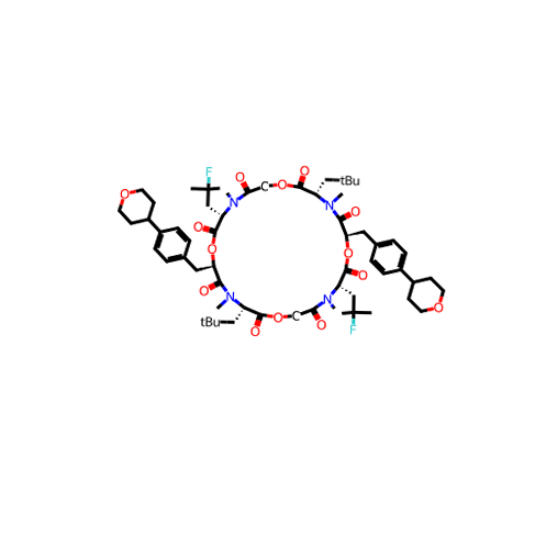 CN1C(=O)COC(=O)[C@H](CC(C)(C)C)N(C)C(=O)[C@@H](Cc2ccc(C3CCOCC3)cc2)OC(=O)[C@H](CC(C)(C)F)N(C)C(=O)COC(=O)[C@H](CC(C)(C)C)N(C)C(=O)[C@@H](Cc2ccc(C3CCOCC3)cc2)OC(=O)[C@@H]1CC(C)(C)F